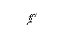 CCCCOC(=O)c1ccc2c(c1)CCC21CCC(=CC(=O)OC)CC1